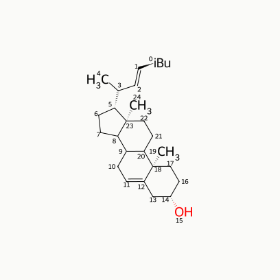 CC[C@H](C)/C=C/C(C)[C@H]1CCC2C3CC=C4C[C@@H](O)CC[C@]4(C)C3CC[C@@]21C